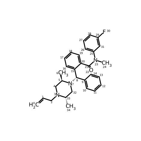 C=CCN1C[C@@H](C)N([C@@H](c2ccccc2)c2ccccc2C(=O)N(C)c2cccc(F)c2)C[C@@H]1C